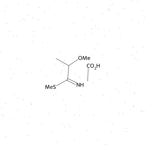 CC(=O)O.COC(C)C(=N)SC